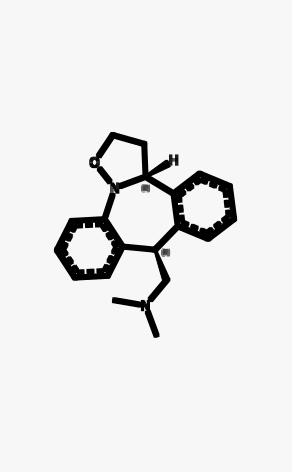 CN(C)C[C@@H]1c2ccccc2[C@H]2CCON2c2ccccc21